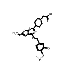 CCc1cc2c(NCc3ccc(OC)c(Cl)c3)nc(C3CCC(CC(=O)O)CC3)nc2s1